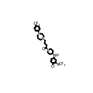 O=C(CCCN1CCCN(c2ccc(C(F)(F)F)cc2)CC1)N1CCC(Nc2ccc(Cl)c(SC(F)(F)F)c2)CC1